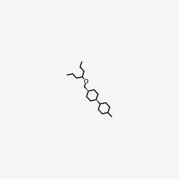 CCCC(CCC)OC[C@H]1CC[C@@H](C2CCC(C)CC2)CC1